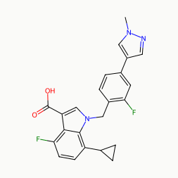 Cn1cc(-c2ccc(Cn3cc(C(=O)O)c4c(F)ccc(C5CC5)c43)c(F)c2)cn1